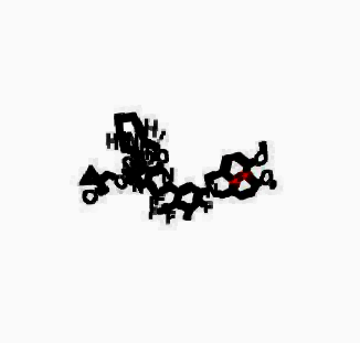 COc1ccc(CN(Cc2ccc(OC)cc2)c2cc(-c3nc4c5c(nc(OCC6(C=O)CC6)nc5c3F)N3C[C@H]5CC[C@@H]([C@H]3[C@H](C)O4)N5C(=O)OC(C)(C)C)c(C(F)(F)F)c(C)c2F)cc1